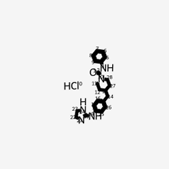 Cl.O=C(Nc1ccccc1)N1CCC(Cc2ccc(NC3=NCCN3)cc2)CC1